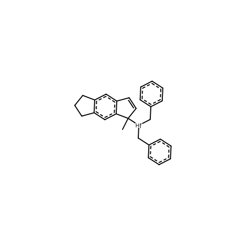 C[C]1([Hf]([CH2]c2ccccc2)[CH2]c2ccccc2)C=Cc2cc3c(cc21)CCC3